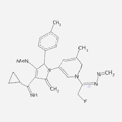 C=N/N=C(/CF)N1C=C(N2C(=C)C(C(=N)C3CC3)=C(NC)C2c2ccc(C)cc2)C=C(C)C1